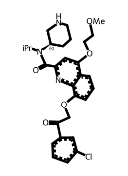 COCCOc1cc(C(=O)N(C(C)C)[C@@H]2CCCNC2)nc2c(OCC(=O)c3cccc(Cl)c3)cccc12